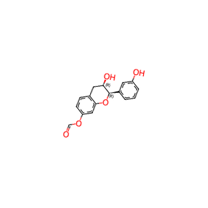 O=COc1ccc2c(c1)O[C@H](c1cccc(O)c1)[C@H](O)C2